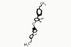 CCCc1ccc(-c2ccc(COc3ccc(-c4ccc(CC)cc4F)cc3)c(F)c2F)cc1